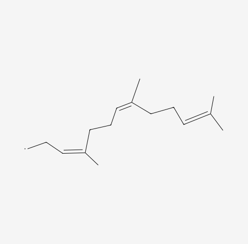 [CH2]CC=C(C)CCC=C(C)CCC=C(C)C